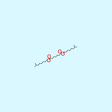 CC(C)CCCCCCOC(=O)CCCCCC(=O)OCCCCCCC(C)C